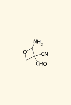 N#CC1(C=O)COC1N